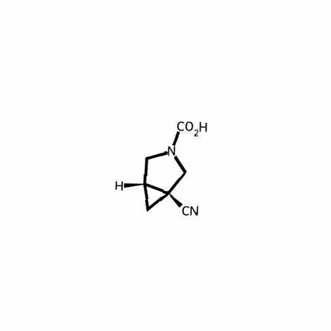 N#C[C@@]12C[C@@H]1CN(C(=O)O)C2